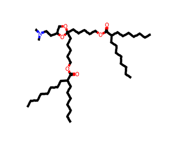 CCCCCCCCC(CCCCCCC)C(=O)OCCCCCC1(CCCCCOC(=O)C(CCCCCCC)CCCCCCCC)OCC(CCN(C)C)O1